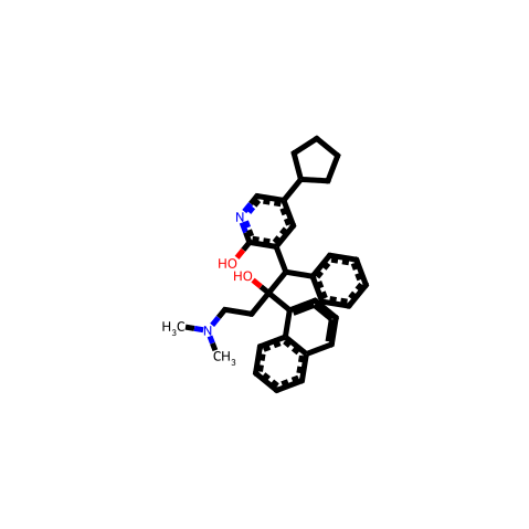 CN(C)CCC(O)(C1=C=C=Cc2ccccc21)C(c1ccccc1)c1cc(C2CCCC2)cnc1O